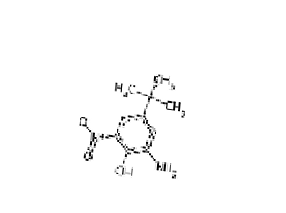 CC(C)(C)c1cc(N)c(O)c([N+](=O)[O-])c1